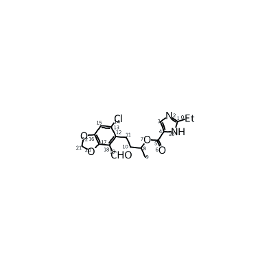 CCc1ncc(C(=O)OC(C)CCc2c(Cl)cc3c(c2C=O)OCO3)[nH]1